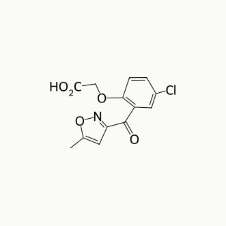 Cc1cc(C(=O)c2cc(Cl)ccc2OCC(=O)O)no1